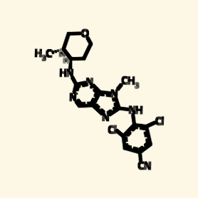 C[C@@H]1COCC[C@H]1Nc1ncc2nc(Nc3c(Cl)cc(C#N)cc3Cl)n(C)c2n1